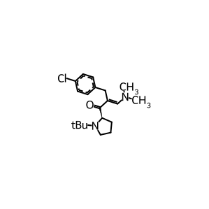 CN(C)C=C(Cc1ccc(Cl)cc1)C(=O)[C@H]1CCCN1C(C)(C)C